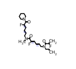 C=CCN(C/C=C/C=C(\F)C(=O)N(C)C/C=C/C=C(\F)C(=O)N1CCCCC1)C(=O)C(=C)F